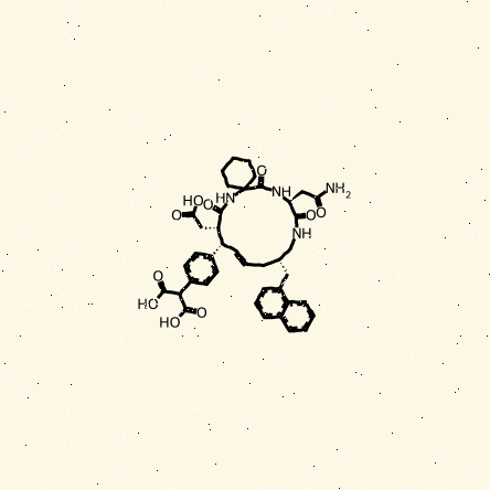 NC(=O)C[C@@H]1NC(=O)C2(CCCCC2)NC(=O)[C@@H](CC(=O)O)[C@@H](c2ccc(C(C(=O)O)C(=O)O)cc2)/C=C/C[C@@H](Cc2cccc3ccccc23)CNC1=O